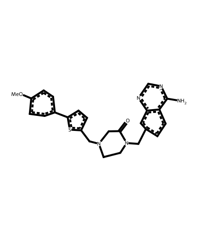 COc1ccc(-c2ccc(CN3CCN(Cc4ccc5c(N)ncnc5c4)C(=O)C3)s2)cc1